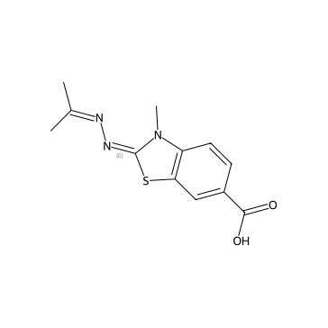 CC(C)=N/N=c1/sc2cc(C(=O)O)ccc2n1C